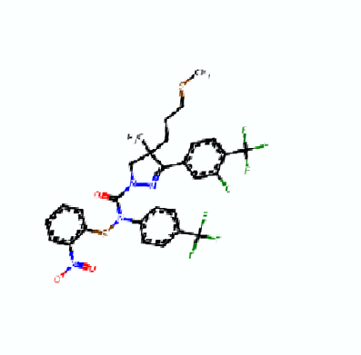 CSCCCC1(C)CN(C(=O)N(Sc2ccccc2[N+](=O)[O-])c2ccc(C(F)(F)F)cc2)N=C1c1ccc(C(F)(F)F)c(Cl)c1